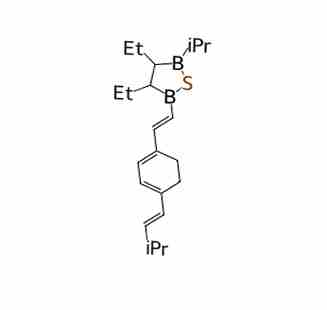 CCC1B(/C=C/C2=CC=C(/C=C/C(C)C)CC2)SB(C(C)C)C1CC